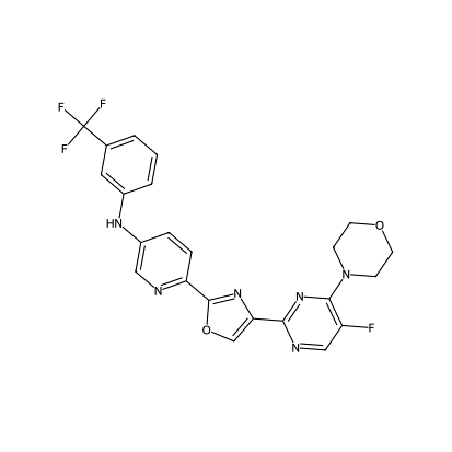 Fc1cnc(-c2coc(-c3ccc(Nc4cccc(C(F)(F)F)c4)cn3)n2)nc1N1CCOCC1